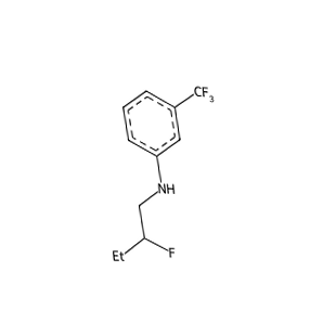 CCC(F)CNc1cccc(C(F)(F)F)c1